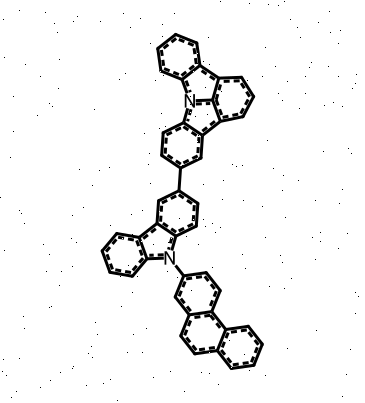 c1ccc2c(c1)ccc1cc(-n3c4ccccc4c4cc(-c5ccc6c(c5)c5cccc7c8ccccc8n6c75)ccc43)ccc12